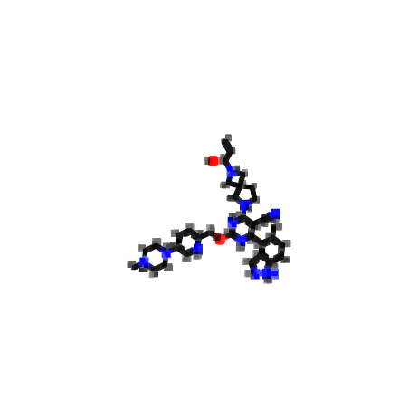 C=CC(=O)N1CC2(CCN(c3nc(OCc4ccc(N5CCN(C)CC5)cn4)nc(-c4c(C)ccc5[nH]ncc45)c3C#N)C2)C1